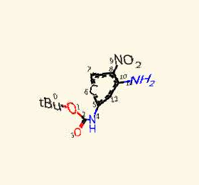 CC(C)(C)OC(=O)Nc1ccc([N+](=O)[O-])c(N)c1